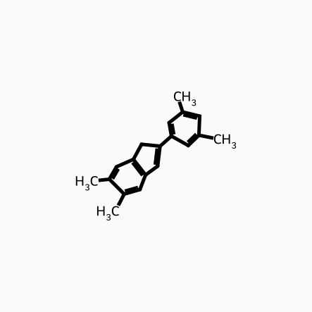 Cc1cc(C)cc(C2=Cc3cc(C)c(C)cc3C2)c1